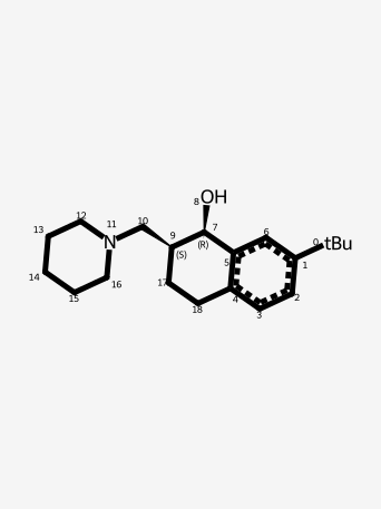 CC(C)(C)c1ccc2c(c1)[C@H](O)[C@H](CN1CCCCC1)CC2